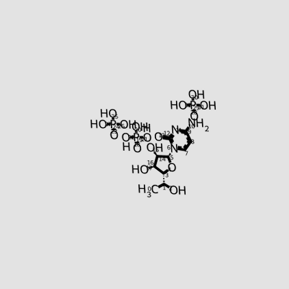 CC(O)[C@H]1O[C@@H](n2ccc(N)nc2=O)[C@H](O)[C@@H]1O.O=P(O)(O)O.O=P(O)(O)O.O=P(O)(O)O